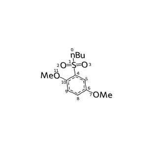 CCCCS(=O)(=O)c1cc(OC)ccc1OC